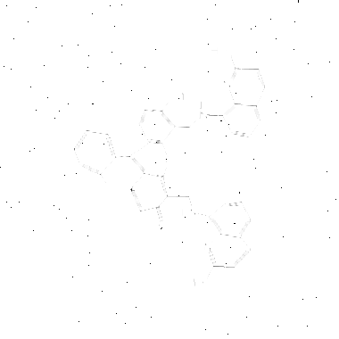 Cc1ccc2cccc(NCc3c4oc5c(CNc6cccc7ccc(C)nc67)c(S)ccc5c(-c5ccccc5C(=O)O)c-4ccc3=O)c2n1